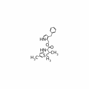 Cc1csc(NC(C(=O)OCc2[nH]ccc2Cc2ccccc2)C(C)C)c1